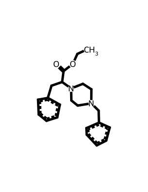 CCOC(=O)C(Cc1ccccc1)N1CCN(Cc2ccccc2)CC1